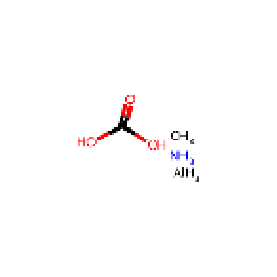 C.N.O=C(O)O.[AlH3]